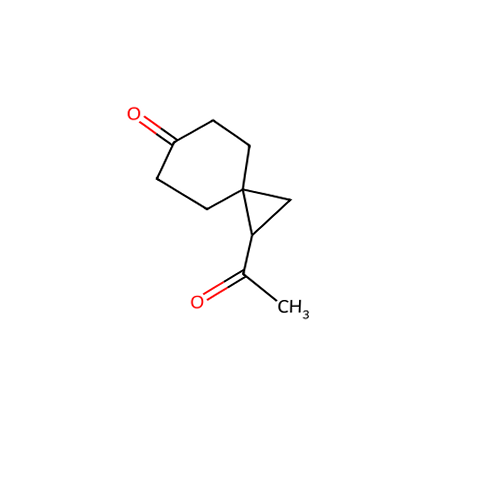 CC(=O)C1CC12CCC(=O)CC2